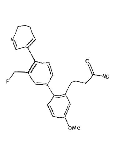 COc1ccc(-c2ccc(C3=CCCN=C3)c(CF)c2)c(CCC(=O)N=O)c1